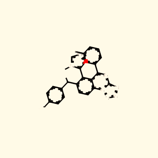 Cn1cncc1-c1c(C(O)c2ccc(Cl)cc2)ccc2c1c(-c1cccc(Cl)c1)nc1nnnn12